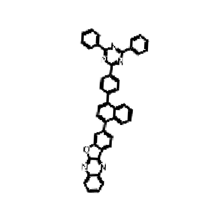 c1ccc(-c2nc(-c3ccccc3)nc(-c3ccc(-c4ccc(-c5ccc6c(c5)oc5nc7ccccc7nc56)c5ccccc45)cc3)n2)cc1